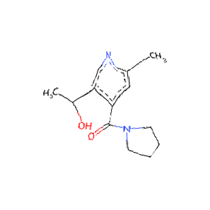 Cc1cc(C(=O)N2CCCC2)c(C(C)O)cn1